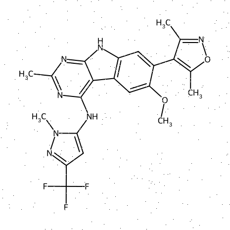 COc1cc2c(cc1-c1c(C)noc1C)[nH]c1nc(C)nc(Nc3cc(C(F)(F)F)nn3C)c12